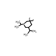 CC(C)C1CN(C(C)C)CC(F)(F)C1